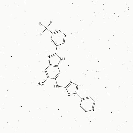 Cc1cc2nc(-c3cccc(C(F)(F)F)c3)[nH]c2cc1Nc1ncc(-c2ccncc2)o1